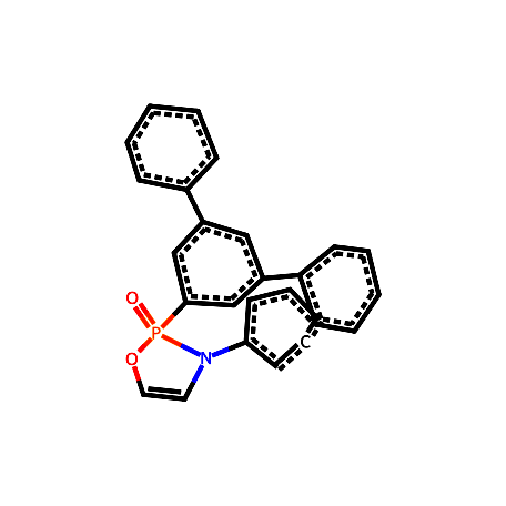 O=P1(c2cc(-c3ccccc3)cc(-c3ccccc3)c2)OC=CN1c1ccccc1